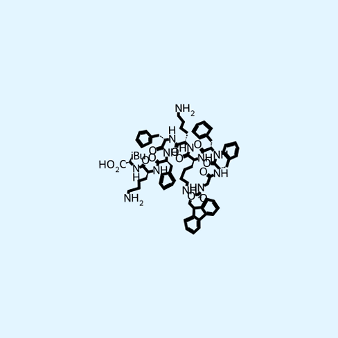 CC[C@H](C)[C@H](NC(=O)[C@H](CCCCN)NC(=O)[C@H](Cc1ccccc1)NC(=O)[C@H](Cc1ccccc1)NC(=O)[C@H](CCCCN)NC(=O)[C@H](CCCCN)NC(=O)[C@H](Cc1ccccc1)NC(=O)[C@H](Cc1ccccc1)NC(=O)CNC(=O)OCC1c2ccccc2-c2ccccc21)C(=O)O